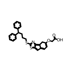 O=C(O)COC1=CC=C2C=c3sc(SCCCC(c4ccccc4)c4ccccc4)nc3=C2C1